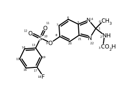 CC1(NC(=O)O)N=c2ccc(OS(=O)(=O)c3cccc(F)c3)cc2=N1